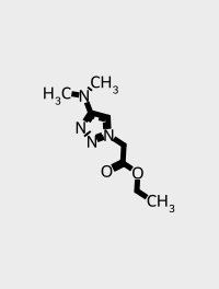 CCOC(=O)Cn1cc(N(C)C)nn1